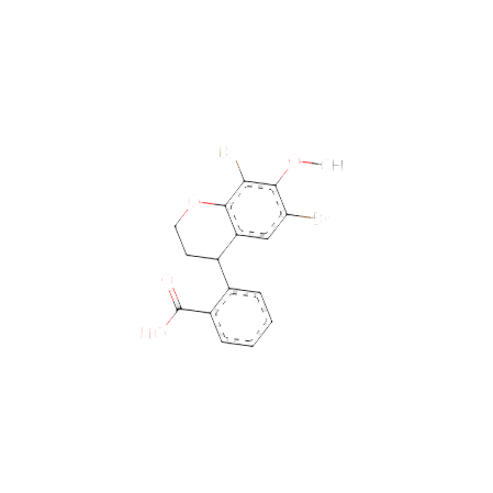 COc1c(Br)cc2c(c1Br)OCCC2c1ccccc1C(=O)O